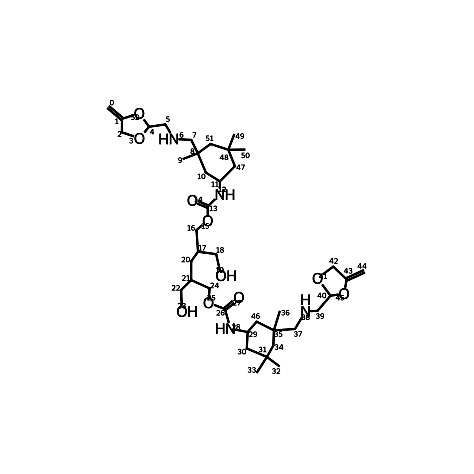 C=C1COC(CNCC2(C)CC(NC(=O)OCC(CO)CC(CO)COC(=O)NC3CC(C)(C)CC(C)(CNCC4OCC(=C)O4)C3)CC(C)(C)C2)O1